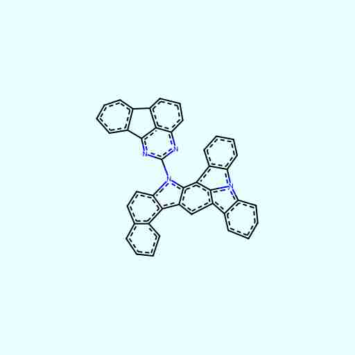 c1ccc2c(c1)-c1cccc3nc(-n4c5ccc6ccccc6c5c5cc6c7ccccc7n7c8ccccc8c(c54)c67)nc-2c13